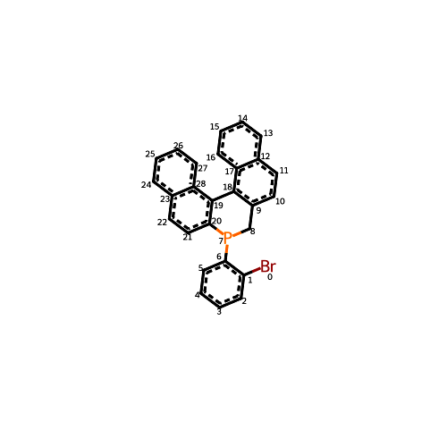 Brc1ccccc1P1Cc2ccc3ccccc3c2-c2c1ccc1ccccc21